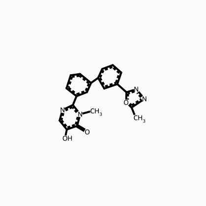 Cc1nnc(-c2cccc(-c3cccc(-c4ncc(O)c(=O)n4C)c3)c2)o1